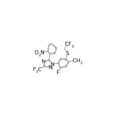 Cc1cc(F)c(-n2nc(C(F)(F)F)nc2-c2ccccc2[N+](=O)[O-])cc1SCC(F)(F)F